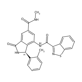 CNC(=O)c1cc(NC(=O)c2nsc3ccccc23)c2c(c1)C(=O)N[C@@H]2c1ccccc1C